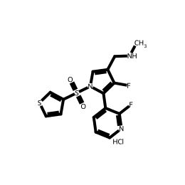 CNCc1cn(S(=O)(=O)c2ccsc2)c(-c2cccnc2F)c1F.Cl